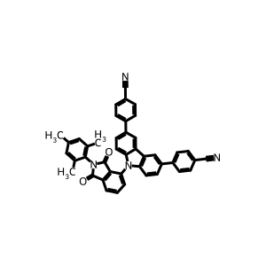 Cc1cc(C)c(N2C(=O)c3cccc(-n4c5ccc(-c6ccc(C#N)cc6)cc5c5cc(-c6ccc(C#N)cc6)ccc54)c3C2=O)c(C)c1